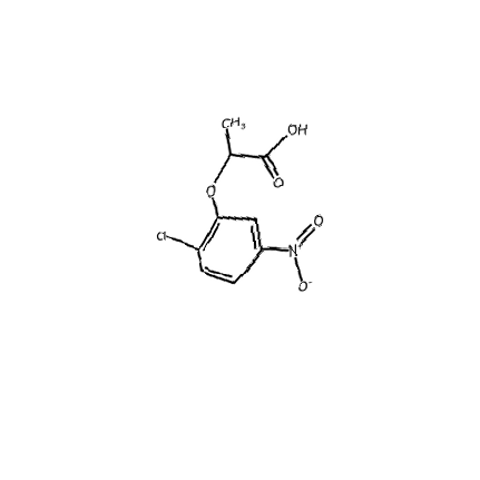 CC(Oc1cc([N+](=O)[O-])ccc1Cl)C(=O)O